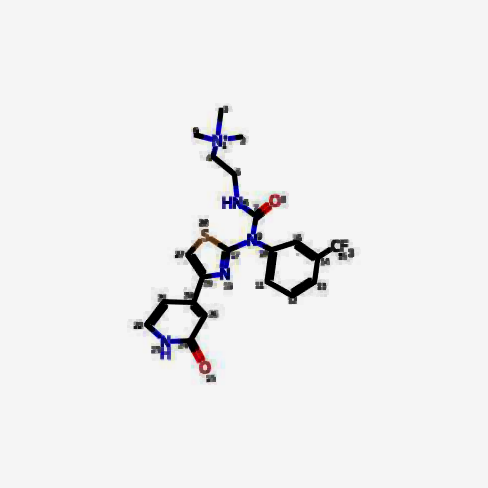 C[N+](C)(C)CCNC(=O)N(c1cccc(C(F)(F)F)c1)c1nc(-c2cc[nH]c(=O)c2)cs1